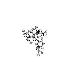 COC(=O)CC(C(=O)c1cccc(OC(C)C)c1)c1nccc2cc(OC)c(OC)cc12